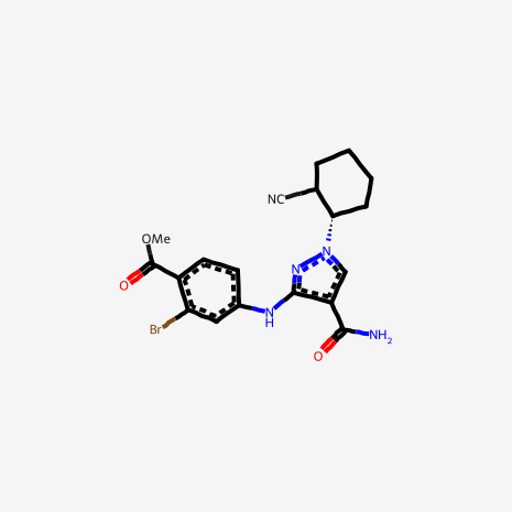 COC(=O)c1ccc(Nc2nn([C@H]3CCCCC3C#N)cc2C(N)=O)cc1Br